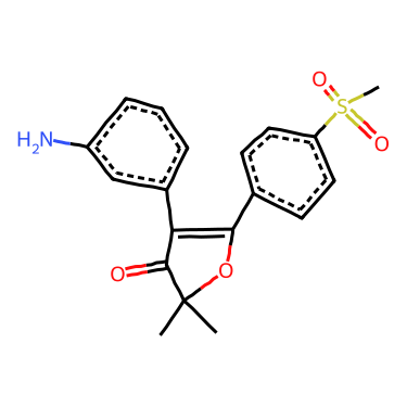 CC1(C)OC(c2ccc(S(C)(=O)=O)cc2)=C(c2cccc(N)c2)C1=O